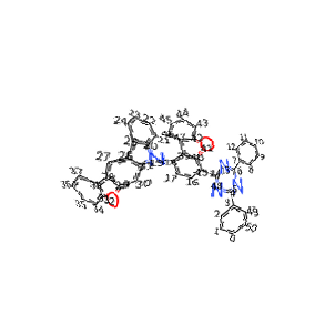 c1ccc(-c2nc(-c3ccccc3)nc(-c3ccc(-n4c5ccccc5c5cc6c(cc54)oc4ccccc46)c4c3oc3ccccc34)n2)cc1